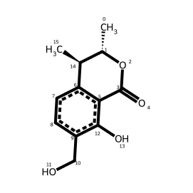 C[C@@H]1OC(=O)c2c(ccc(CO)c2O)[C@H]1C